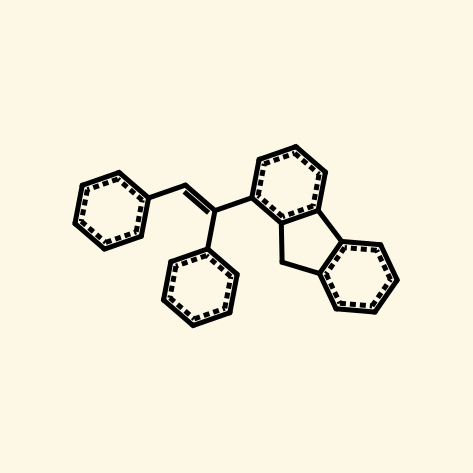 C(=C(c1ccccc1)c1cccc2c1Cc1ccccc1-2)c1ccccc1